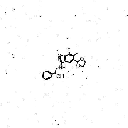 OC(CNc1noc2c(F)c(F)c(C3OCCO3)cc12)c1ccccc1